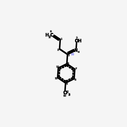 C=CC/C(=N\O)c1ccc(C(F)(F)F)cc1